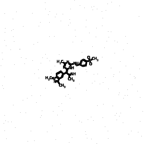 CC(=N)/C(=C1/N=C(C)N=C(NCc2ccc(S(C)(=O)=O)cc2)N1)c1ccc2c(c1)c(C)nn2C